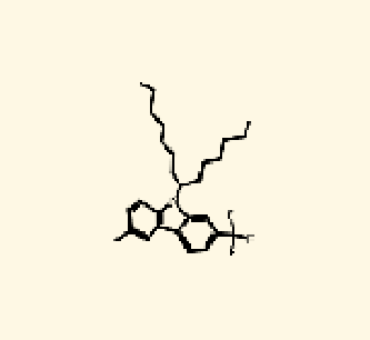 CCCCCCCC(CCCCCC)n1c2ccc(C)cc2c2ccc(C(F)(F)F)cc21